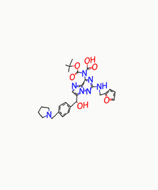 CC(C)(C)OC(=O)N(C(=O)O)c1nc(NCc2ccco2)nn2c(C(O)c3ccc(CN4CCCC4)cc3)cnc12